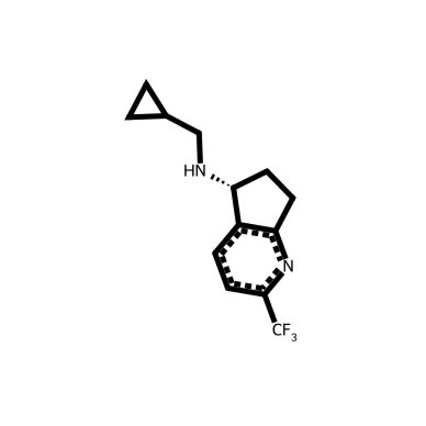 FC(F)(F)c1ccc2c(n1)CC[C@H]2NCC1CC1